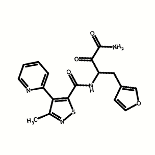 Cc1nsc(C(=O)NC(Cc2ccoc2)C(=O)C(N)=O)c1-c1ccccn1